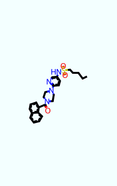 CCCCCS(=O)(=O)Nc1ccc(N2CCN(C(=O)c3cccc4ccccc34)CC2)nc1